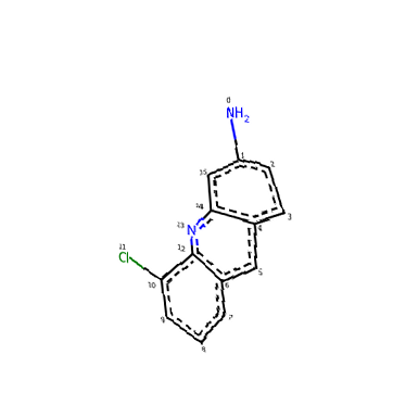 Nc1ccc2cc3cccc(Cl)c3nc2c1